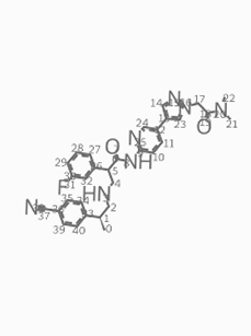 C[C@H](CNCC(C(=O)Nc1ccc(-c2cnn(CC(=O)N(C)C)c2)cn1)c1cccc(F)c1)c1ccc(C#N)cc1